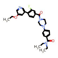 CCOc1cncc(-c2ccc(C(=O)N3CCN(c4ccc(C(=O)N(CC)CC)cc4)CC3)cc2F)c1